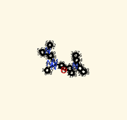 c1ccc(-c2nc(-c3ccc4c(c3)oc3c5ccccc5c(-n5c6cc7ccccc7cc6c6cc7ccccc7cc65)cc43)nc(-c3ccc4c(c3)c3ccccc3n4-c3ccccc3)n2)cc1